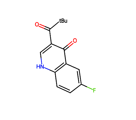 CC(C)(C)C(=O)c1c[nH]c2ccc(F)cc2c1=O